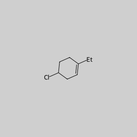 CCC1=CCC(Cl)CC1